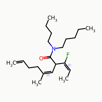 C=CCC/C(C)=C\C(C(=O)N(CCCC)CCCCC)/C(F)=C\C